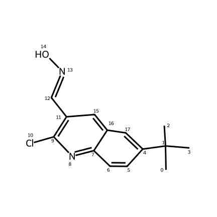 CC(C)(C)c1ccc2nc(Cl)c(C=NO)cc2c1